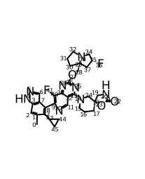 Cc1cc2[nH]ncc2c(-c2ncc3c(N4CCC[C@]5(CNC(=O)O5)C4)nc(OC[C@@]45CCCN4C[C@H](F)C5)nc3c2F)c1C1CC1